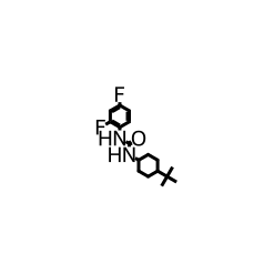 CC(C)(C)C1CCC(NC(=O)Nc2ccc(F)cc2F)CC1